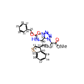 CCCCC(C(=O)OC)n1nnnc1[C@H](Cc1csc2ccccc12)NC(=O)OCc1ccccc1